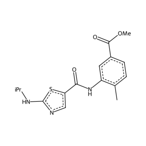 COC(=O)c1ccc(C)c(NC(=O)c2cnc(NC(C)C)s2)c1